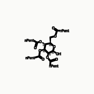 CCCCCC(=O)OC[C@H]1O[C@@H](O)[C@@H](OC(=O)CCCCC)[C@@H](OC(=O)CCCCC)[C@@H]1OC(=O)CCCCC